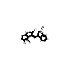 CC(=O)n1cc(C=C2C(=O)Nc3ccc(Br)c(C)c32)c2ccccc21